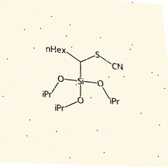 CCCCCCC(SC#N)[Si](OC(C)C)(OC(C)C)OC(C)C